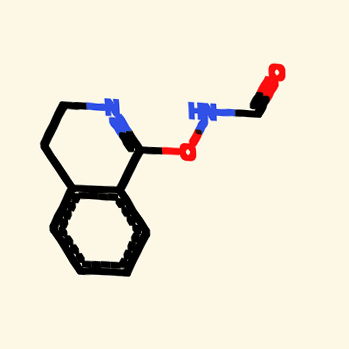 O=CNOC1=NCCc2ccccc21